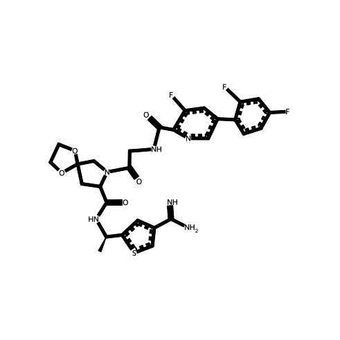 C[C@@H](NC(=O)C1CC2(CN1C(=O)CNC(=O)c1ncc(-c3ccc(F)cc3F)cc1F)OCCO2)c1cc(C(=N)N)cs1